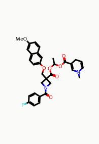 COc1ccc2cc(OCC3(C(=O)OC(C)OC(=O)C4=CN(C)C=CC4)CN(C(=O)c4ccc(F)cc4)C3)ccc2c1